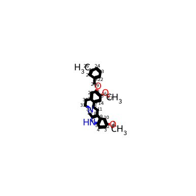 COc1ccc2[nH]c3c(c2c1)CC1c2cc(OC)c(OCc4cccc(C)c4)cc2CCN1C3